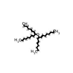 CCCC/C=C/C=C(\C=C\CCCCCC)OC(/C=C/CCCCCC)=C/C=C/CCCC